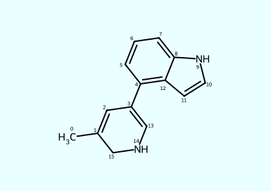 CC1=CC(c2cccc3[nH]ccc23)=CNC1